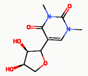 Cn1cc(C2OC[C@@H](O)[C@H]2O)c(=O)n(C)c1=O